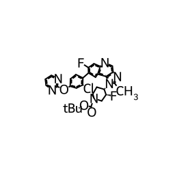 Cc1nc2cnc3cc(F)c(-c4ccc(Oc5ncccn5)cc4Cl)cc3c2n1[C@H]1CCN(C(=O)OC(C)(C)C)C[C@@H]1F